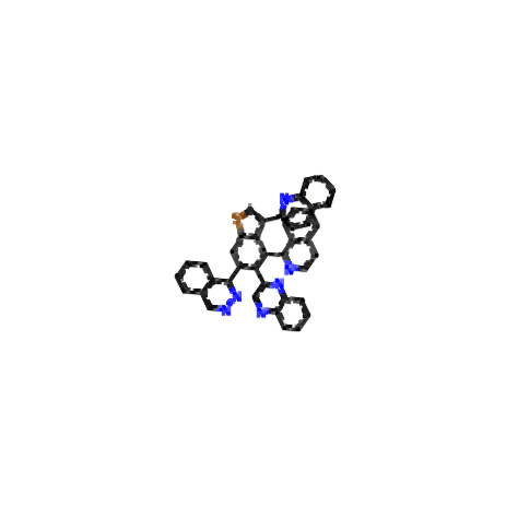 [c]1sc2cc(-c3nncc4ccccc34)c(-c3cnc4ccccc4n3)c(-c3nccc4ccccc34)c2c1-c1ccc2ccccc2n1